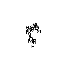 COc1ncc(Cl)cc1S(=O)(=O)Nc1ccnc(COc2cnc3[nH]nc(C)c3c2)c1F